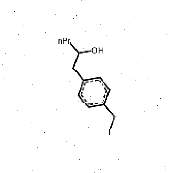 CCCC(O)Cc1ccc(CI)cc1